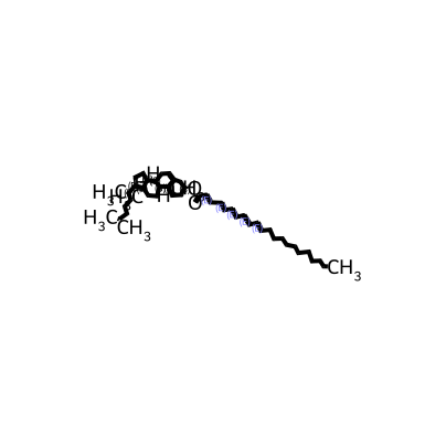 CCCCCCCCCCC/C=C/C=C/C=C/C=C/C=C/C(=O)O[C@H]1CC[C@@]2(C)C(=CC[C@H]3[C@@H]4CC[C@H]([C@H](C)CCCC(C)C)[C@@]4(C)CC[C@@H]32)C1